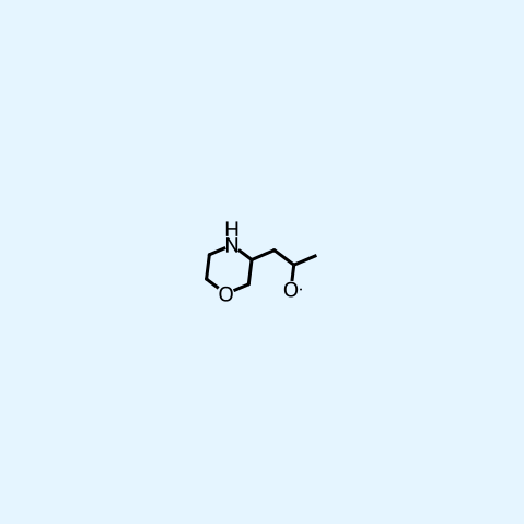 CC([O])CC1COCCN1